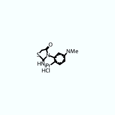 CNc1ccc(C(C)C)c(N2C(=N)SCC2=O)c1.Cl